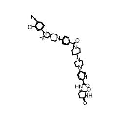 C[C@@H]1CC2(CCN(c3ccc(C(=O)N4CCC(N5CCN(c6ccc(C(=O)N[C@H]7CCC(=O)NC7=O)nc6)CC5)CC4)cc3)CC2)CN1c1ccc(C#N)c(Cl)c1